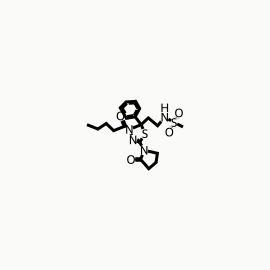 CCCCC(=O)N1N=C(N2CCCC2=O)SC1(CCNS(C)(=O)=O)c1ccccc1